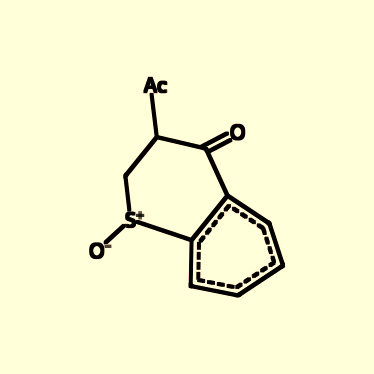 CC(=O)C1C[S+]([O-])c2ccccc2C1=O